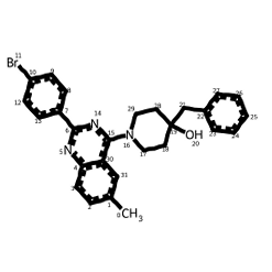 Cc1ccc2nc(-c3ccc(Br)cc3)nc(N3CCC(O)(Cc4ccccc4)CC3)c2c1